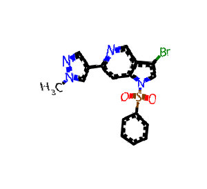 Cn1cc(-c2cc3c(cn2)c(Br)cn3S(=O)(=O)c2ccccc2)cn1